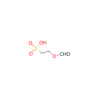 O=COCCS(=O)(=O)O